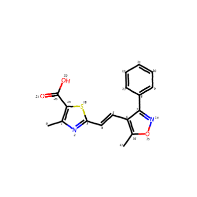 Cc1nc(C=Cc2c(-c3ccccc3)noc2C)sc1C(=O)O